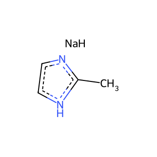 Cc1ncc[nH]1.[NaH]